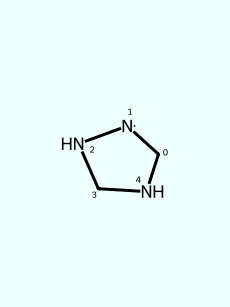 C1[N]NCN1